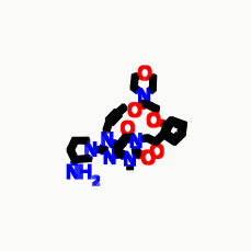 CC#CCn1c(N2CCCC(N)C2)nc2c1c(=O)n(CC(=O)c1ccccc1OCC(=O)N1CCOCC1)c(=O)n2C